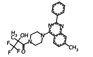 Cc1ccc2c(N3CCN(C(=O)C(C)(O)C(F)(F)F)CC3)nc(-c3ccccc3)nc2c1